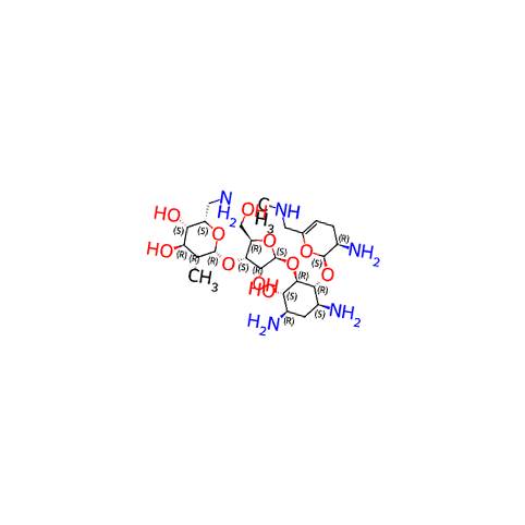 CNCC1=CC[C@@H](N)[C@@H](O[C@H]2[C@H](O[C@@H]3O[C@H](CO)[C@@H](O[C@H]4O[C@@H](CN)[C@@H](O)[C@H](O)[C@H]4C)[C@H]3O)[C@@H](O)[C@H](N)C[C@@H]2N)O1